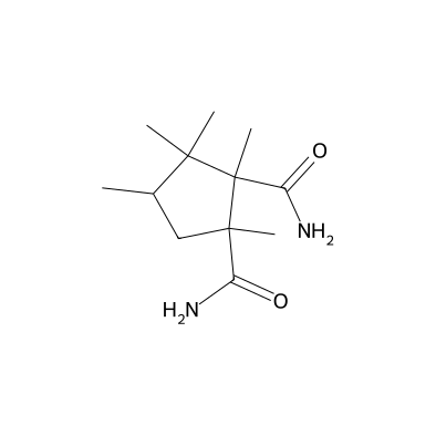 CC1CC(C)(C(N)=O)C(C)(C(N)=O)C1(C)C